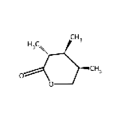 C[C@H]1[C@@H](C)COC(=O)[C@@H]1C